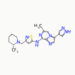 Cc1cn2c(-c3cn[nH]c3)cnc2c(Nc2cc(CN3CCCCC3C(F)(F)F)ns2)n1